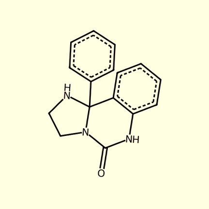 O=C1Nc2ccccc2C2(c3ccccc3)NCCN12